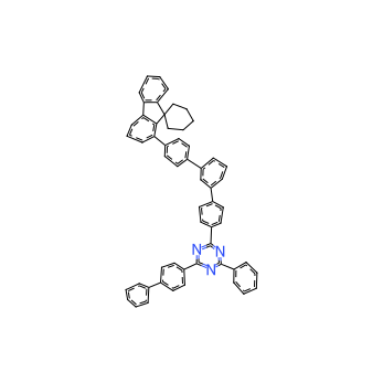 c1ccc(-c2ccc(-c3nc(-c4ccccc4)nc(-c4ccc(-c5cccc(-c6ccc(-c7cccc8c7C7(CCCCC7)c7ccccc7-8)cc6)c5)cc4)n3)cc2)cc1